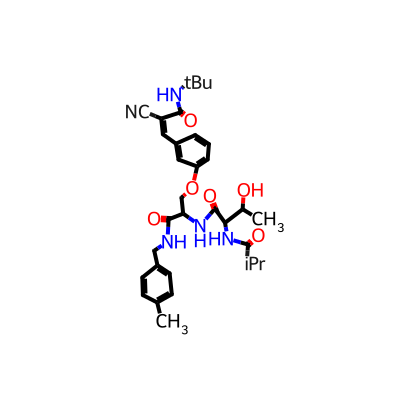 Cc1ccc(CNC(=O)C(COc2cccc(C=C(C#N)C(=O)NC(C)(C)C)c2)NC(=O)C(NC(=O)C(C)C)C(C)O)cc1